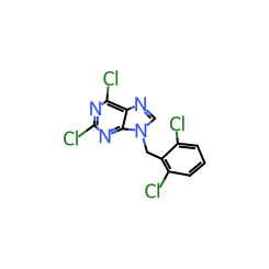 Clc1nc(Cl)c2ncn(Cc3c(Cl)cccc3Cl)c2n1